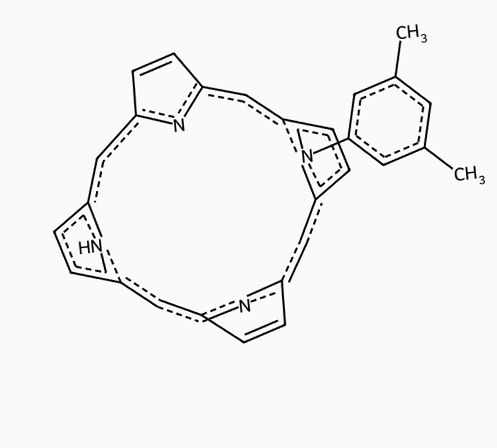 Cc1cc(C)cc(-n2c3ccc2cc2nc(cc4ccc(cc5nc(c3)C=C5)[nH]4)C=C2)c1